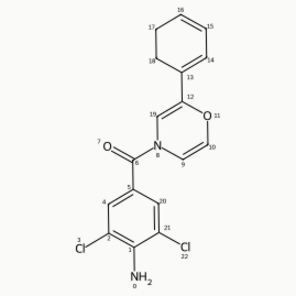 Nc1c(Cl)cc(C(=O)N2C=COC(C3=CC=CCC3)=C2)cc1Cl